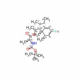 CCC(C)[C@@H]([C@H](C)OC(=O)[C@H](C)NC(=O)OC(C)(C)C)C1(C)C=CC(F)=CC1C